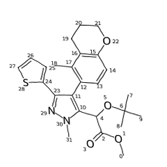 COC(=O)C(OC(C)(C)C)c1c(-c2ccc3c(c2C)CCCO3)c(-c2cccs2)nn1C